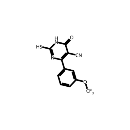 N#Cc1c(-c2cccc(OC(F)(F)F)c2)nc(S)[nH]c1=O